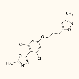 Cc1cc(CCCOc2cc(Cl)c(-c3nnc(C)o3)c(Cl)c2)on1